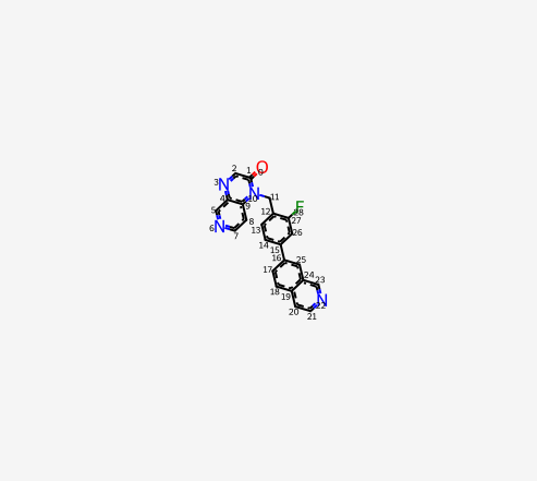 O=c1cnc2cnccc2n1Cc1ccc(-c2ccc3ccncc3c2)cc1F